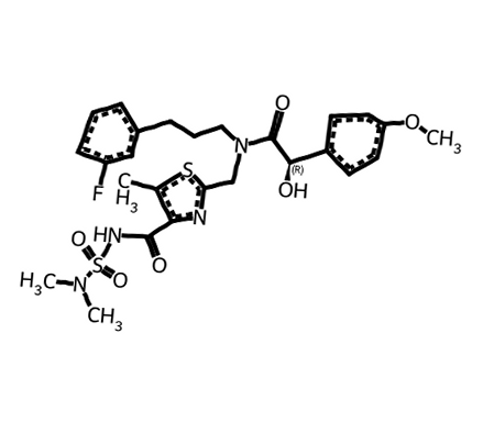 COc1ccc([C@@H](O)C(=O)N(CCCc2cccc(F)c2)Cc2nc(C(=O)NS(=O)(=O)N(C)C)c(C)s2)cc1